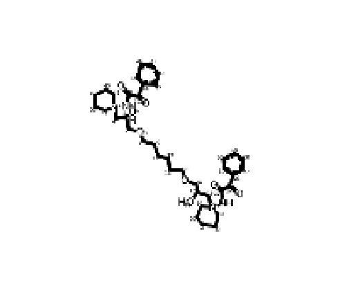 O=C(N[N+]1(CC(O)COCCCCCCOCC(O)C[N+]2(NC(=O)C(=O)c3ccccc3)CCCCC2)CCCCC1)C(=O)c1ccccc1